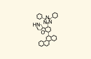 C1=Cc2oc3c(-c4cc5c6ccccc6ccc5c5ccccc45)ccc(-c4nc(-c5ccccc5)nc(-c5ccccc5)n4)c3c2CN1